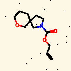 C=CCOC(=O)N1CCC2(CCCOC2)C1